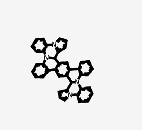 c1ccc2c(c1)-c1cc3c(cc1C1c4cccn4-c4ccccc4N21)-c1ccccc1N1c2ccccc2-n2cccc2C31